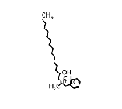 CCCCCCCCCCCCCCC(O)C[N+](C)(C)Cc1ccccc1